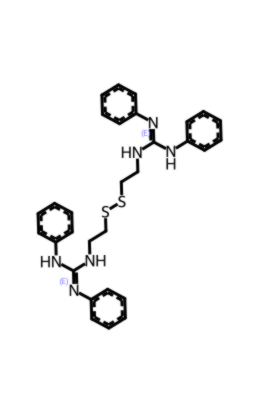 c1ccc(/N=C(\NCCSSCCN/C(=N\c2ccccc2)Nc2ccccc2)Nc2ccccc2)cc1